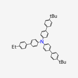 CCc1ccc(-c2ccc(N(c3ccc(-c4ccc(C(C)(C)C)cc4)cc3)c3ccc(-c4ccc(C(C)(C)C)cc4)cc3)cc2)cc1